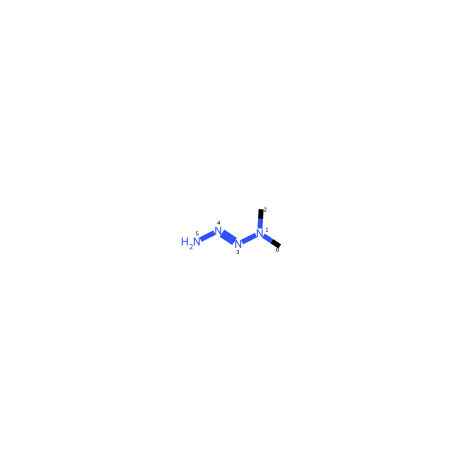 CN(C)/N=N/N